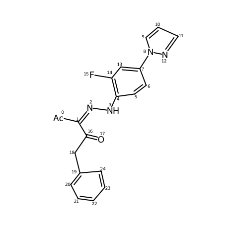 CC(=O)/C(=N/Nc1ccc(-n2cccn2)cc1F)C(=O)Cc1ccccc1